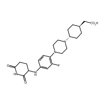 O=C(O)C[C@H]1CC[C@H](N2CCN(c3ccc(NC4CCC(=O)NC4=O)cc3F)CC2)CC1